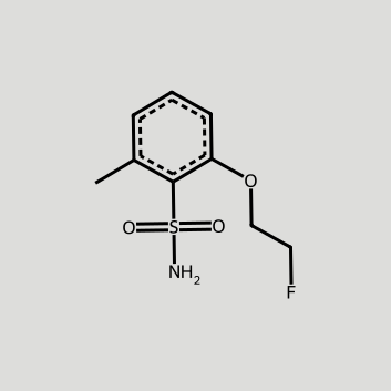 Cc1cccc(OCCF)c1S(N)(=O)=O